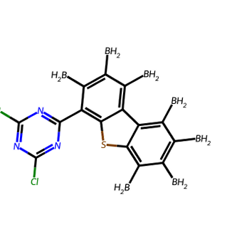 Bc1c(B)c(B)c2c(sc3c(-c4nc(Cl)nc(Cl)n4)c(B)c(B)c(B)c32)c1B